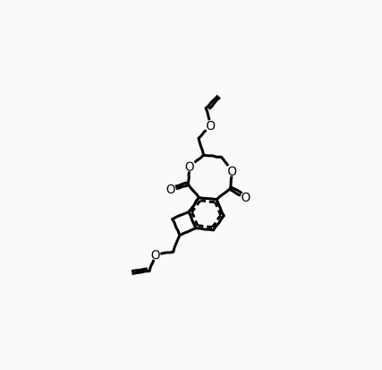 C=COCC1COC(=O)c2ccc3c(c2C(=O)O1)CC3COC=C